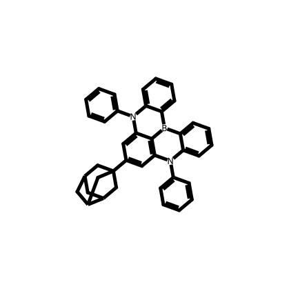 c1ccc(N2c3ccccc3B3c4ccccc4N(c4ccccc4)c4cc(C56CC7CC(C5)C(C7)C6)cc2c43)cc1